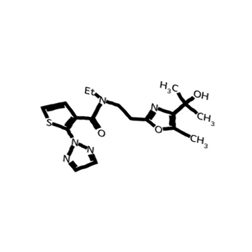 CCN(CCc1nc(C(C)(C)O)c(C)o1)C(=O)c1ccsc1-n1nccn1